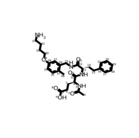 CC(=O)N[C@@H](CCC(=O)O)C(=O)N[C@@H](CCc1ccccc1)C(=O)NCc1cc(OCCCCN)ccc1C